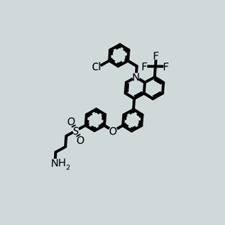 NCCCS(=O)(=O)c1cccc(Oc2cccc(C3=C4C=CC=C(C(F)(F)F)C4N(Cc4cccc(Cl)c4)C=C3)c2)c1